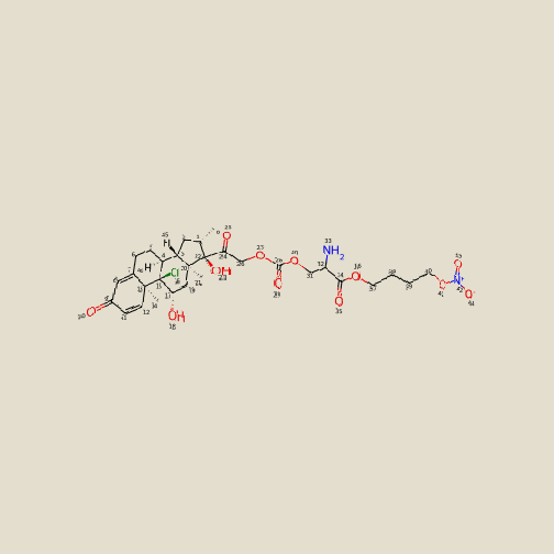 C[C@H]1C[C@H]2[C@@H]3CCC4=CC(=O)C=C[C@]4(C)[C@@]3(Cl)[C@@H](O)C[C@]2(C)[C@@]1(O)C(=O)COC(=O)OCC(N)C(=O)OCCCCO[N+](=O)[O-]